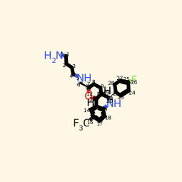 NCCCCNC[C@H]1CC[C@@H]2[C@H](O1)c1cc(C(F)(F)F)ccc1N[C@H]2C1C=CC(F)=CC1